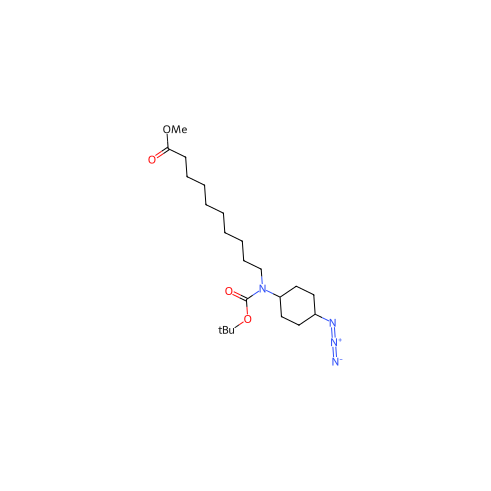 COC(=O)CCCCCCCCCN(C(=O)OC(C)(C)C)C1CCC(N=[N+]=[N-])CC1